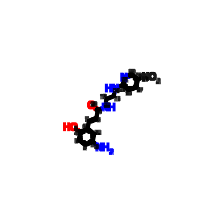 Nc1ccc(O)c(C=CC(=O)NCCNc2ccc([N+](=O)[O-])cn2)c1